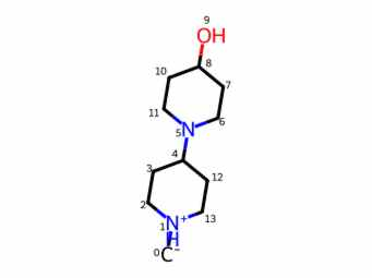 [CH2-][NH+]1CCC(N2CCC(O)CC2)CC1